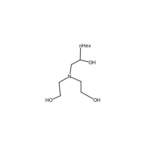 CCCCCCC(O)CN(CCO)CCO